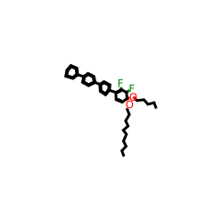 CCCCCCCCCCOC1(OCCCCC)C=CC(c2ccc(-c3ccc(-c4ccccc4)cc3)cc2)=C(F)C1F